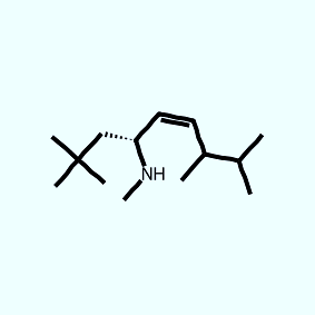 CN[C@@H](/C=C\C(C)C(C)C)CC(C)(C)C